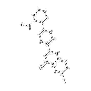 CCNc1ccccc1-c1ccc(-c2cc(C)c3cc(F)ccc3n2)cc1